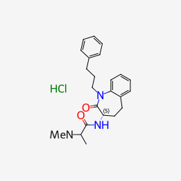 CNC(C)C(=O)N[C@H]1CCc2ccccc2N(CCCc2ccccc2)C1=O.Cl